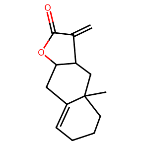 C=C1C(=O)OC2CC3=CCCCC3(C)CC12